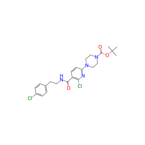 CC(C)(C)OC(=O)N1CCN(c2ccc(C(=O)NCCc3ccc(Cl)cc3)c(Cl)n2)CC1